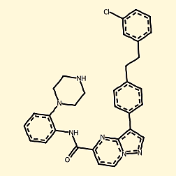 O=C(Nc1ccccc1N1CCNCC1)c1ccn2ncc(-c3ccc(CCc4cccc(Cl)c4)cc3)c2n1